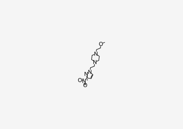 COCCN1CCN(CCn2ccc([N+](=O)[O-])n2)CC1